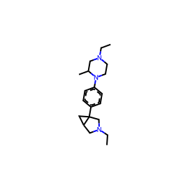 CCN1CCN(c2ccc(C34CC3CN(CC)C4)cc2)C(C)C1